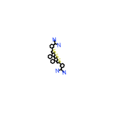 N#CC(C#N)=C1C=C(c2cc3c(s2)-c2sc4c(c2C32CCCCC2)C2(CCCCC2)c2cc(C3=CC(=C(C#N)C#N)CCC3)sc2-4)CCC1